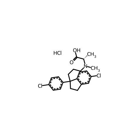 C[C@@H](C(=O)O)N(C)CCCC1(c2ccc(Cl)cc2)CCc2cc(Cl)ccc21.Cl